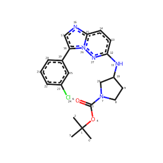 CC(C)(C)OC(=O)N1CCC(Nc2ccc3ncc(-c4cccc(Cl)c4)n3n2)C1